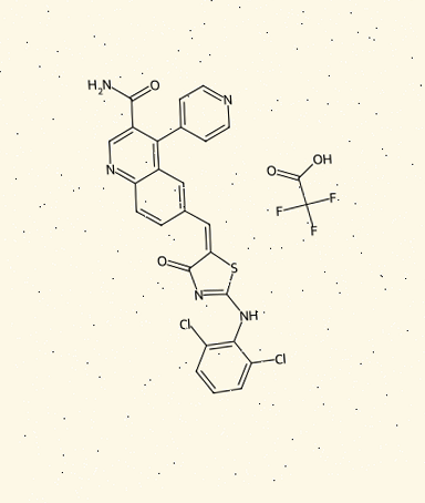 NC(=O)c1cnc2ccc(C=C3SC(Nc4c(Cl)cccc4Cl)=NC3=O)cc2c1-c1ccncc1.O=C(O)C(F)(F)F